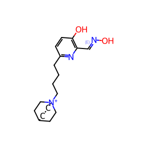 O/N=C/c1nc(CCCC[N+]23CCC(CC2)CC3)ccc1O